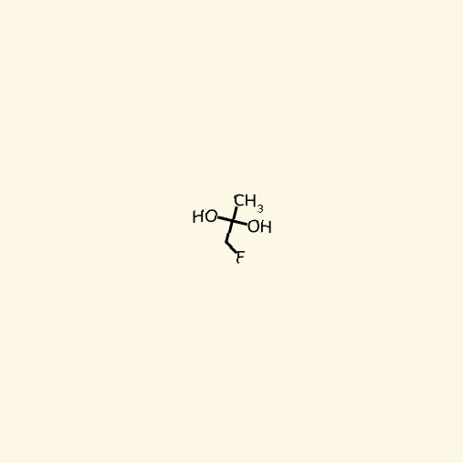 CC(O)(O)CF